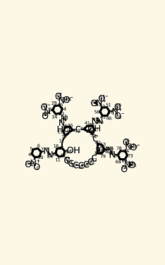 O=[N+]([O-])c1cccc(N=Nc2cc3c(O)c(c2)Cc2cc(N=Nc4cc([N+](=O)[O-])cc([N+](=O)[O-])c4)cc(c2O)Cc2cc(N=Nc4cc([N+](=O)[O-])cc([N+](=O)[O-])c4)cc(c2O)Cc2cc(N=Nc4cc([N+](=O)[O-])cc([N+](=O)[O-])c4)cc(c2O)CCCCCCC3)c1